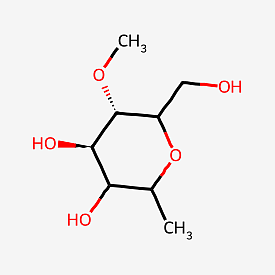 CO[C@@H]1C(CO)OC(C)C(O)[C@H]1O